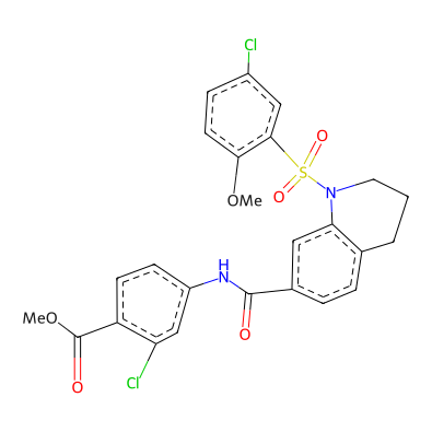 COC(=O)c1ccc(NC(=O)c2ccc3c(c2)N(S(=O)(=O)c2cc(Cl)ccc2OC)CCC3)cc1Cl